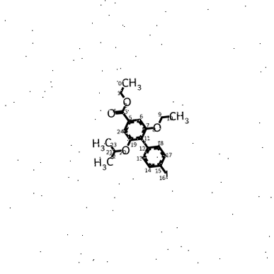 CCOC(=O)c1cc(OCC)c(-c2ccc(I)cc2)c(OC(C)C)c1